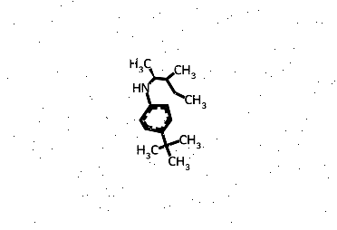 CCC(C)[C@H](C)Nc1ccc(C(C)(C)C)cc1